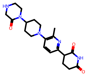 Cc1nc(C2CCC(=O)NC2=O)ccc1N1CCC(N2CCNCC2=O)CC1